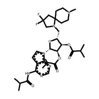 CC(C)C(=O)Nc1ncnc2c1ccn2[C@@H]1O[C@H](CN2CC(F)(F)CC23CCN(C)CC3)[C@@H](OC(=O)C(C)C)[C@H]1OC(=O)C(C)C